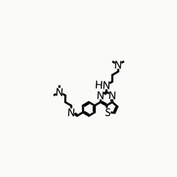 CN(C)CCC/N=C\c1ccc(-c2nc(NCCCN(C)C)nc3ccsc23)cc1